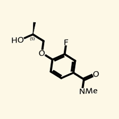 CNC(=O)c1ccc(OC[C@H](C)O)c(F)c1